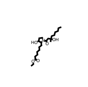 CCCCCCC(C)(O)CC(=O)N1CCC(O)C1CCCCCCC(=O)OCC